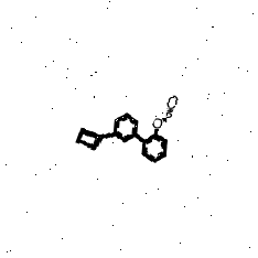 O=POc1ccccc1-c1cccc(C2=CCC2)c1